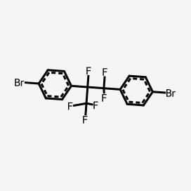 FC(F)(F)C(F)(c1ccc(Br)cc1)C(F)(F)c1ccc(Br)cc1